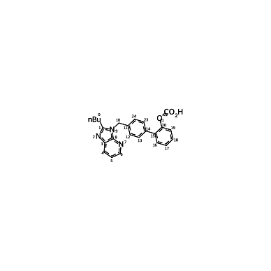 CCCCc1nc2cccnc2n1Cc1ccc(-c2ccccc2OC(=O)O)cc1